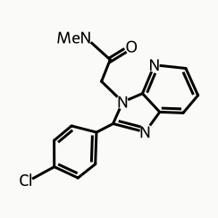 CNC(=O)Cn1c(-c2ccc(Cl)cc2)nc2cccnc21